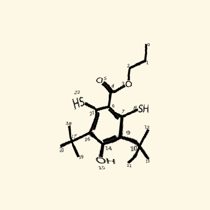 CCCOC(=O)c1c(S)c(C(C)(C)C)c(O)c(C(C)(C)C)c1S